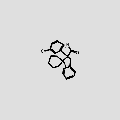 NC(=O)C(Cc1ccccc1)(c1cccc(Cl)c1)C1(O)CCCCC1